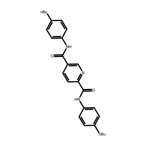 CCCCc1ccc(NC(=O)c2ccc(C(=O)Nc3ccc(CCCC)cc3)nc2)cc1